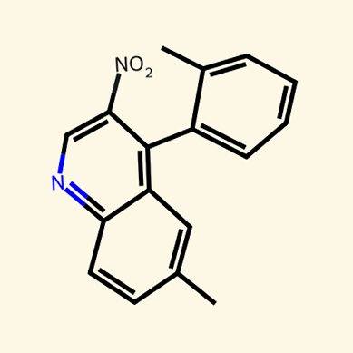 Cc1ccc2ncc([N+](=O)[O-])c(-c3ccccc3C)c2c1